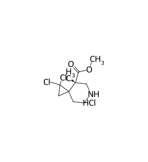 COC(=O)[C@]1(C)CNCCC12CC2(Cl)Cl.Cl